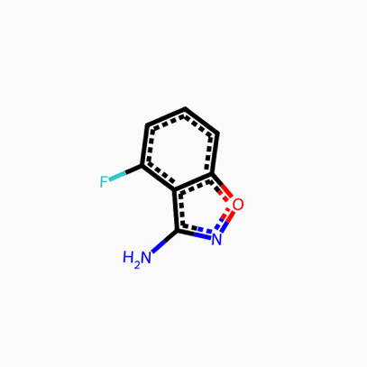 Nc1noc2cccc(F)c12